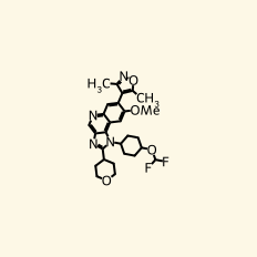 COc1cc2c(cc1-c1c(C)noc1C)ncc1nc(C3CCOCC3)n(C3CCC(OC(F)F)CC3)c12